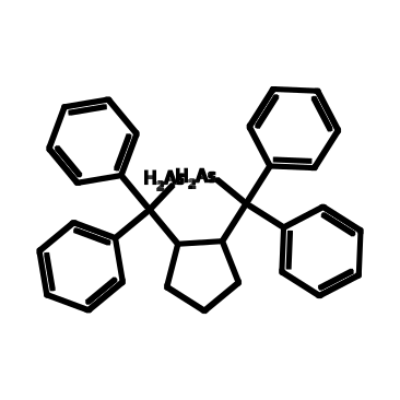 [AsH2]C(c1ccccc1)(c1ccccc1)C1CCCC1C([AsH2])(c1ccccc1)c1ccccc1